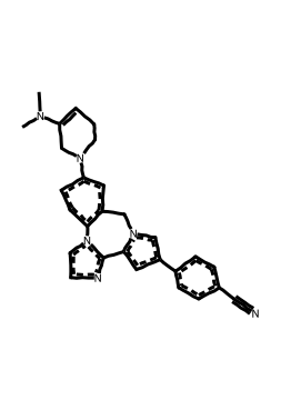 CN(C)C1=CCCN(c2ccc3c(c2)Cn2cc(-c4ccc(C#N)cc4)cc2-c2nccn2-3)C1